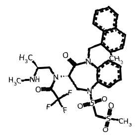 CN[C@@H](C)CN(C(=O)C(F)(F)F)[C@H]1CN(S(=O)(=O)CS(C)(=O)=O)c2ccccc2N(Cc2c(C)ccc3ccccc23)C1=O